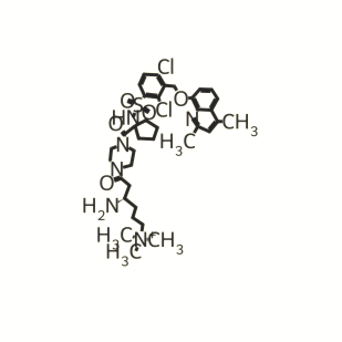 Cc1cc(C)c2cccc(OCc3c(Cl)ccc(S(=O)(=O)NC4(C(=O)N5CCN(C(=O)C[C@@H](N)CCC[N+](C)(C)C)CC5)CCCC4)c3Cl)c2n1